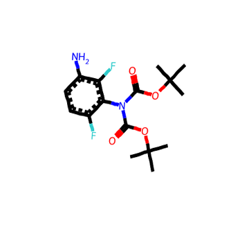 CC(C)(C)OC(=O)N(C(=O)OC(C)(C)C)c1c(F)ccc(N)c1F